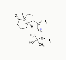 C[C@H](/C=C/[C@H](C)C1CC[C@H]2C(=O)CCC[C@H]12)C(C)(C)O